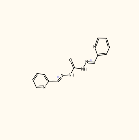 O=C(N/N=C/c1ccccn1)N/N=C/c1ccccn1